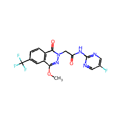 COc1nn(CC(=O)Nc2ncc(F)cn2)c(=O)c2ccc(C(F)(F)F)cc12